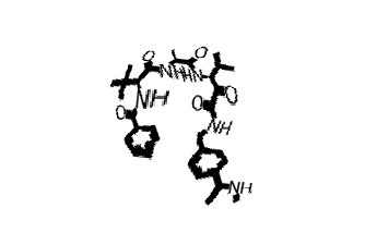 C=C(NC)c1ccc(CNC(=O)C(=O)[C@@H](NC(=O)[C@H](C)NC(=O)[C@@H](NC(=O)c2ccccc2)C(C)(C)C)C(C)C)cc1